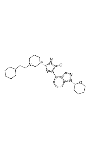 O=c1[nH]c([C@H]2CCCN(CCC3CCCCC3)C2)nn1-c1cccc2c1cnn2C1CCCCO1